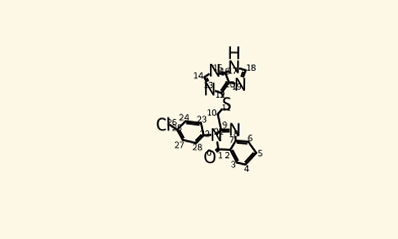 O=c1c2ccccc2nc(CSc2ncnc3[nH]cnc23)n1-c1ccc(Cl)cc1